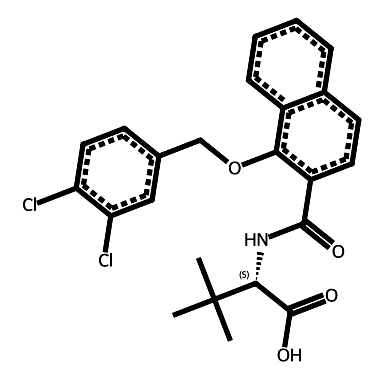 CC(C)(C)[C@H](NC(=O)c1ccc2ccccc2c1OCc1ccc(Cl)c(Cl)c1)C(=O)O